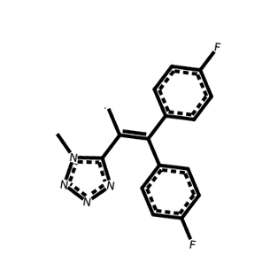 [CH2]C(=C(c1ccc(F)cc1)c1ccc(F)cc1)c1nnnn1C